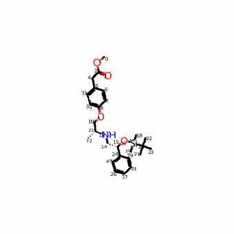 COC(=O)Cc1ccc(OC[C@@H](C)NC[C@H](O[Si](C)(C)C(C)(C)C)c2ccccc2)cc1